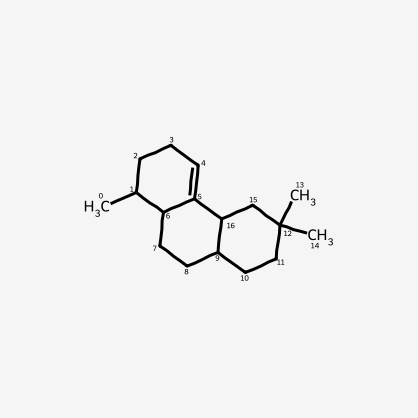 CC1CCC=C2C1CCC1CCC(C)(C)CC21